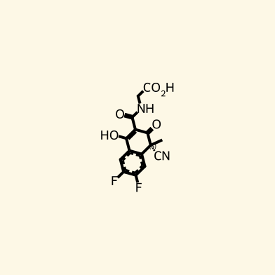 C[C@]1(C#N)C(=O)C(C(=O)NCC(=O)O)=C(O)c2cc(F)c(F)cc21